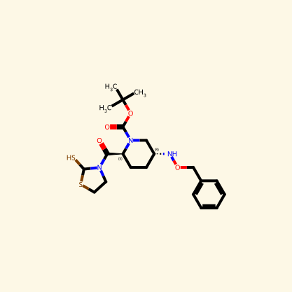 CC(C)(C)OC(=O)N1C[C@H](NOCc2ccccc2)CC[C@H]1C(=O)N1CCSC1S